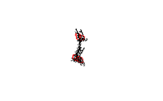 CCO[SiH](CCCCCCCCCC[SiH](OCC)OCC)OCC